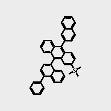 C[Si](C)(C)c1ccc2c(-c3ccc4ccccc4c3)c3ccccc3c(-c3ccc(-c4ccccc4)c4ccccc34)c2c1